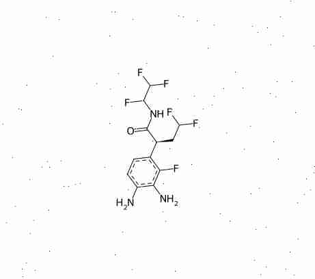 Nc1ccc([C@H](CC(F)F)C(=O)NC(F)C(F)F)c(F)c1N